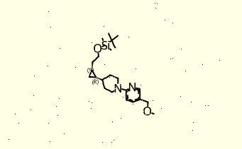 COCc1ccc(N2CCC([C@H]3C[C@H]3CCO[Si](C)(C)C(C)(C)C)CC2)nc1